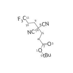 CC(C)(C)OC(=O)CCC(C#N)(C#N)CCC(F)(F)F